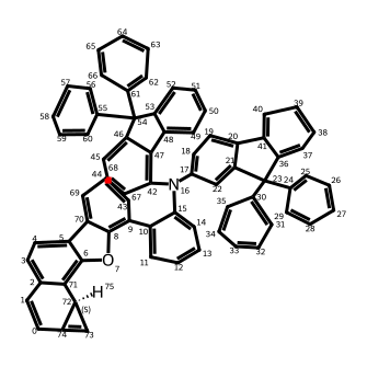 C1=Cc2ccc3c(oc4c(-c5ccccc5N(c5ccc6c(c5)C(c5ccccc5)(c5ccccc5)c5ccccc5-6)c5cccc6c5-c5ccccc5C6(c5ccccc5)c5ccccc5)cccc43)c2[C@H]2C=C12